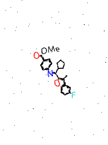 COC(=O)c1ccc(N=C(c2oc3ccc(F)cc3c2C)C2CCCC2)cc1